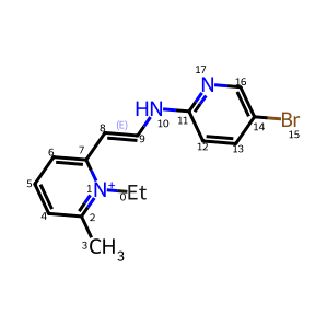 CC[n+]1c(C)cccc1/C=C/Nc1ccc(Br)cn1